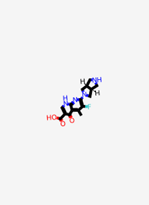 Cc1c(F)c(N2C[C@H]3CNC[C@H]3C2)nc2[nH]cc(C(=O)O)c(=O)c12